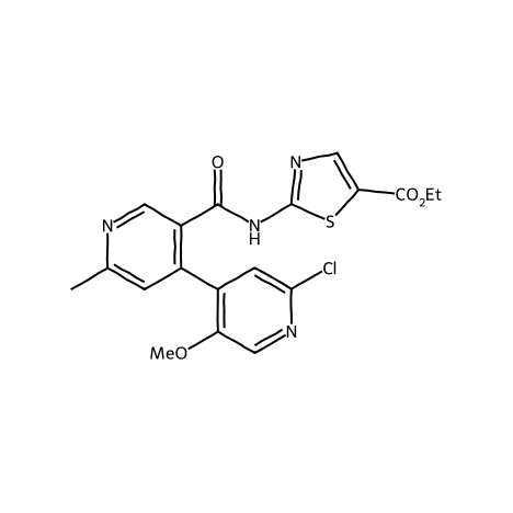 CCOC(=O)c1cnc(NC(=O)c2cnc(C)cc2-c2cc(Cl)ncc2OC)s1